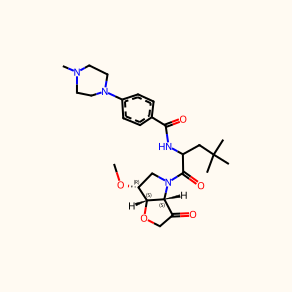 CO[C@@H]1CN(C(=O)C(CC(C)(C)C)NC(=O)c2ccc(N3CCN(C)CC3)cc2)[C@@H]2C(=O)CO[C@@H]21